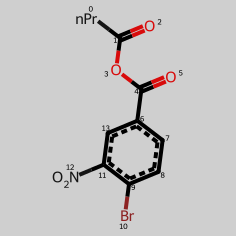 CCCC(=O)OC(=O)c1ccc(Br)c([N+](=O)[O-])c1